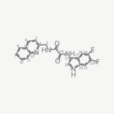 O=C(NCc1ccc2ccccc2n1)C(=O)Nc1c[nH]c2cc(F)c(F)cc12